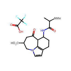 CNC(C)C(=O)NC1CCc2ccn3c2C1C(=O)CC(C(=O)O)C3.O=C(O)C(F)(F)F